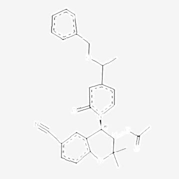 CC(=O)O[C@H]1[C@H](n2ccc(C(C)OCc3ccccc3)cc2=O)c2cc(C#N)ccc2OC1(C)C